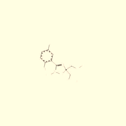 CCOCC1(CC(=O)OCC)N=C(c2cc(Br)ccc2C)N(C)O1